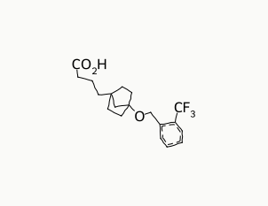 O=C(O)CCCC12CCC(OCc3ccccc3C(F)(F)F)(CC1)C2